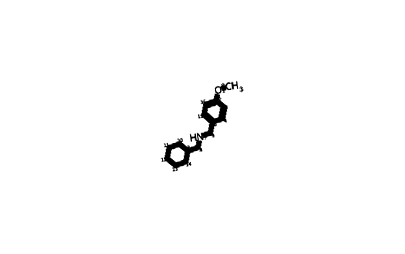 COc1ccc(CNCC2CCCCC2)cc1